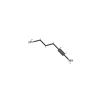 CCCCCCC#C[NH]